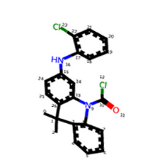 CC1(C)c2ccccc2N(C(=O)Cl)c2cc(Nc3ccccc3Cl)ccc21